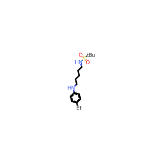 CCc1ccc(NCCCCCNS(=O)(=O)C(C)(C)C)cc1